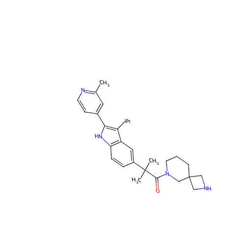 Cc1cc(-c2[nH]c3ccc(C(C)(C)C(=O)N4CCCC5(CNC5)C4)cc3c2C(C)C)ccn1